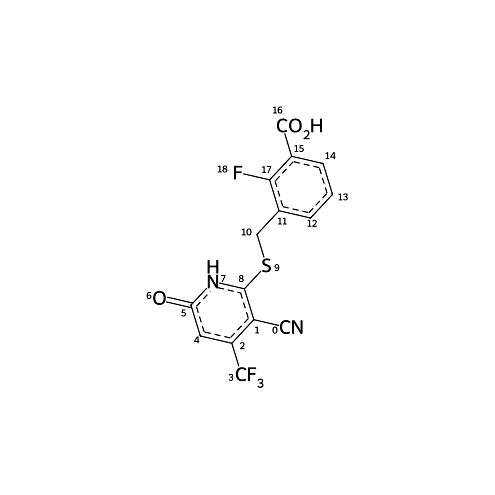 N#Cc1c(C(F)(F)F)cc(=O)[nH]c1SCc1cccc(C(=O)O)c1F